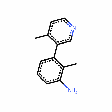 Cc1ccncc1-c1cccc(N)c1C